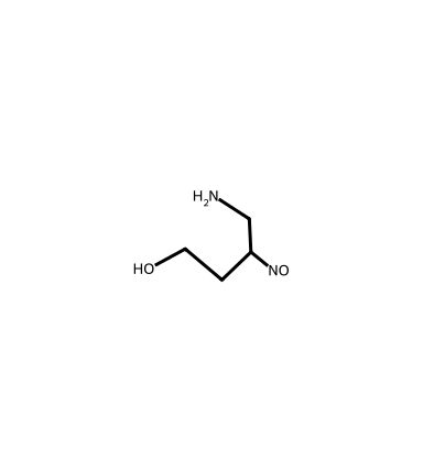 NCC(CCO)N=O